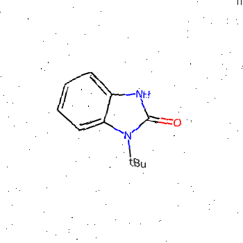 CC(C)(C)n1c(=O)[nH]c2ccccc21